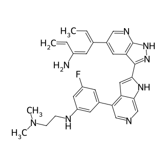 C=C/C(N)=C\C(=C/C)c1cnc2[nH]nc(-c3cc4c(-c5cc(F)cc(NCCN(C)C)c5)cncc4[nH]3)c2c1